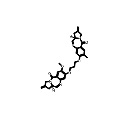 C=C1C[C@H]2C=Nc3cc(OCCCOc4cc5c(cc4OC)C(=O)N4CC(=C)C[C@H]4C=N5)c(C)cc3C(=O)N2C1